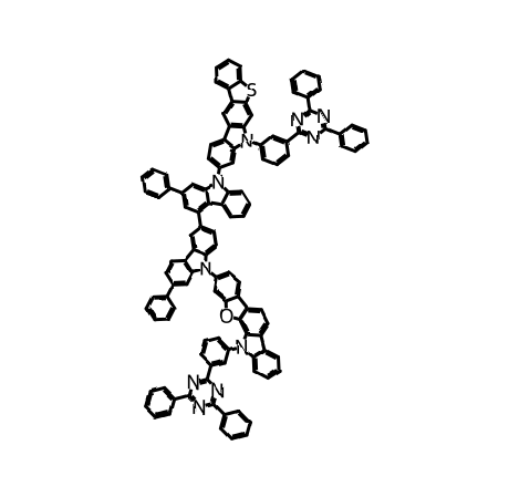 c1ccc(-c2ccc3c4cc(-c5cc(-c6ccccc6)cc6c5c5ccccc5n6-c5ccc6c7cc8c(cc7n(-c7cccc(-c9nc(-c%10ccccc%10)nc(-c%10ccccc%10)n9)c7)c6c5)sc5ccccc58)ccc4n(-c4ccc5c(c4)oc4c5ccc5c6ccccc6n(-c6cccc(-c7nc(-c8ccccc8)nc(-c8ccccc8)n7)c6)c54)c3c2)cc1